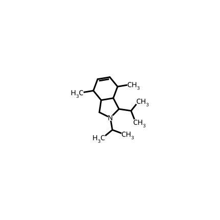 CC(C)C1C2C(C)C=CC(C)C2CN1C(C)C